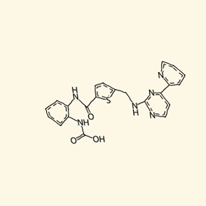 O=C(O)Nc1ccccc1NC(=O)c1ccc(CNc2nccc(-c3ccccn3)n2)s1